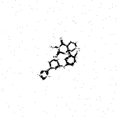 CN1C(=N)NC2(c3cc(OC4=CC(c5cocn5)CC=C4)ccc3F)COCCC2C1=O